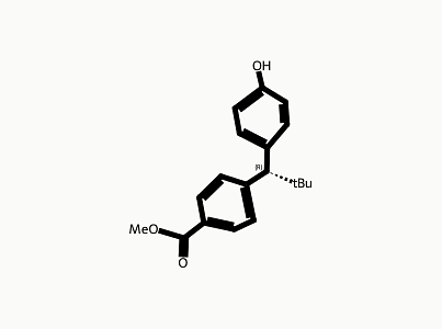 COC(=O)c1ccc([C@H](c2ccc(O)cc2)C(C)(C)C)cc1